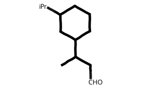 CC(C)C1CCCC(C(C)CC=O)C1